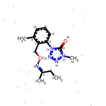 CCC(C)=NOCc1c(C)cccc1-n1nnn(C)c1=O